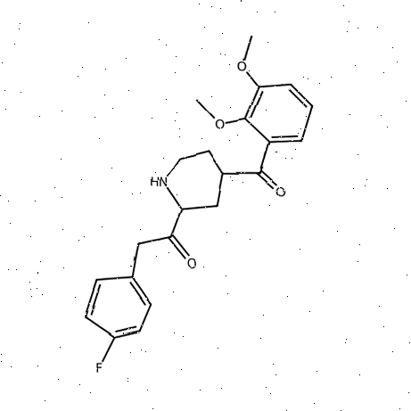 COc1cccc(C(=O)C2CCNC(C(=O)Cc3ccc(F)cc3)C2)c1OC